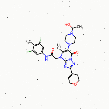 Cc1c(N2CCN(C(C)O)CC2)c(=O)n2nc(C3=CCOCC3)nc2n1CC(=O)Nc1cc(F)c(C(F)(F)F)c(F)c1